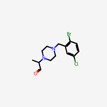 CC(C=O)N1CCN(Cc2cc(Cl)ccc2Br)CC1